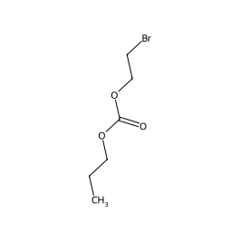 CCCOC(=O)OCCBr